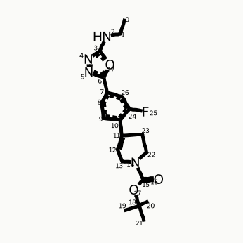 CCNc1nnc(-c2ccc(C3=CCN(C(=O)OC(C)(C)C)CC3)c(F)c2)o1